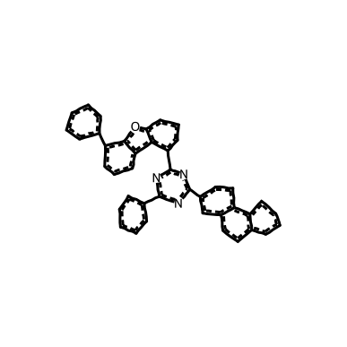 c1ccc(-c2nc(-c3ccc4c(ccc5ccccc54)c3)nc(-c3cccc4oc5c(-c6ccccc6)cccc5c34)n2)cc1